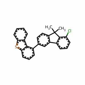 CC1(C)c2ccc(-c3cccc4sc5ccccc5c34)cc2-c2cccc(Cl)c21